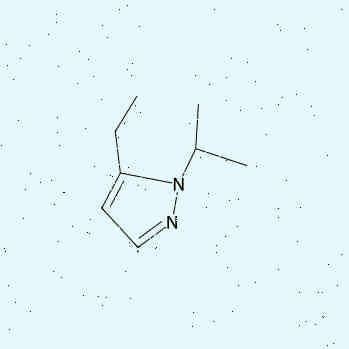 CCc1c[c]nn1C(C)C